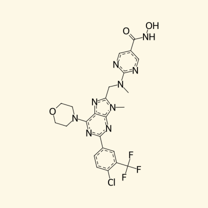 CN(Cc1nc2c(N3CCOCC3)nc(-c3ccc(Cl)c(C(F)(F)F)c3)nc2n1C)c1ncc(C(=O)NO)cn1